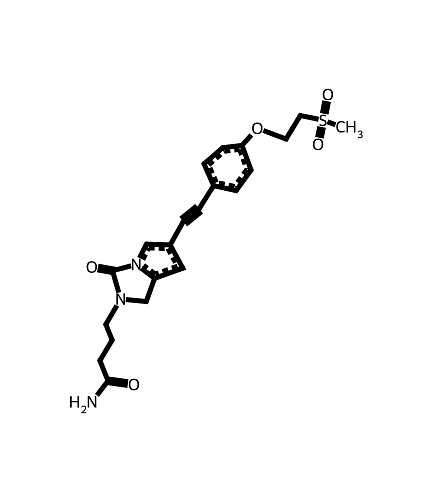 CS(=O)(=O)CCOc1ccc(C#Cc2cc3n(c2)C(=O)N(CCCC(N)=O)C3)cc1